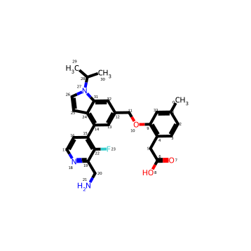 Cc1ccc(CC(=O)O)c(OCc2cc(-c3ccnc(CN)c3F)c3ccn(C(C)C)c3c2)c1